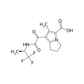 Cc1c(C(=O)C(=O)N[C@H](C)C(F)(F)F)c2n(c1C(=O)O)CCC2